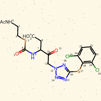 CC(=O)NCCSC(=O)NC(CC(=O)O)C(=O)Cn1nnc(Sc2c(Cl)cccc2Cl)n1